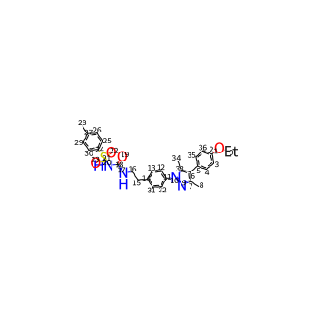 CCOc1ccc(-c2c(C)nn(-c3ccc(CCNC(=O)NS(=O)(=O)c4ccc(C)cc4)cc3)c2C)cc1